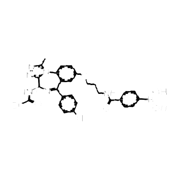 CCC(=O)N[C@@H]1N=C(c2ccc(Cl)cc2)c2cc(OCCCNC(=O)c3ccc(B(O)O)cc3)ccc2-n2c(C)nnc21